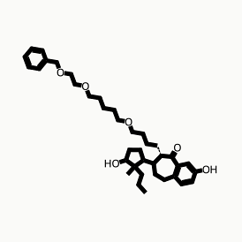 CCCC1(C)C(O)CCC1C1CCc2ccc(O)cc2C(=O)[C@H]1CCCCOCCCCCOCCOCc1ccccc1